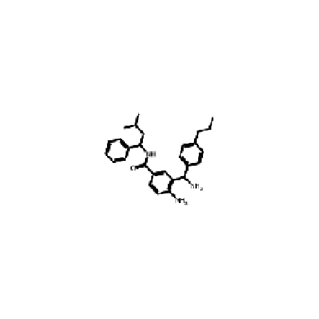 CCCc1ccc(C(N)c2cc(C(=O)NC(CC(C)C)c3ccccc3)ccc2N)cc1